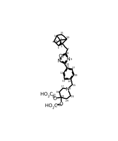 CC1(C)C2CC=C(Cc3nc(-c4ccc(CN5CCC(OC(=O)O)(OC(=O)O)CC5)cc4)no3)C1C2